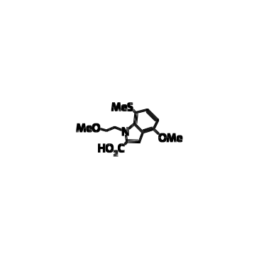 COCCn1c(C(=O)O)cc2c(OC)ccc(SC)c21